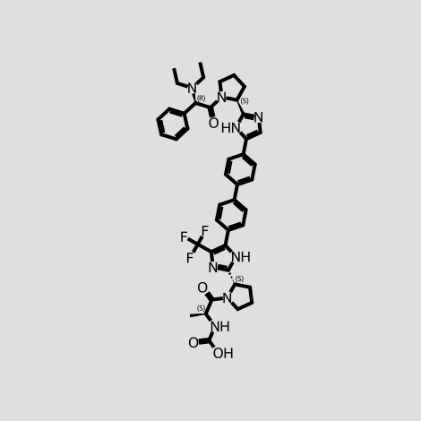 CCN(CC)[C@@H](C(=O)N1CCC[C@H]1c1ncc(-c2ccc(-c3ccc(-c4[nH]c([C@@H]5CCCN5C(=O)[C@H](C)NC(=O)O)nc4C(F)(F)F)cc3)cc2)[nH]1)c1ccccc1